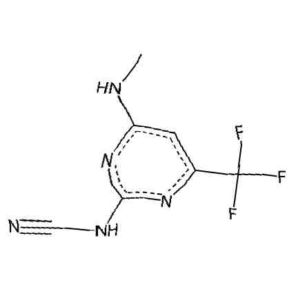 CNc1cc(C(F)(F)F)nc(NC#N)n1